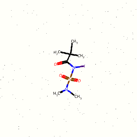 CN(C)S(=O)(=O)N(I)C(=O)C(C)(C)C